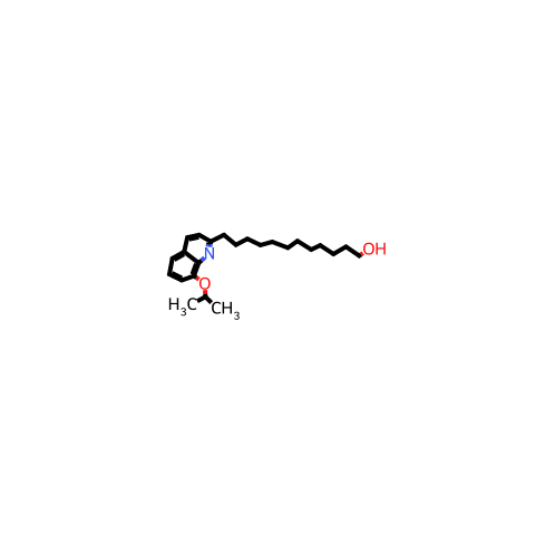 CC(C)Oc1cccc2ccc(CCCCCCCCCCCCO)nc12